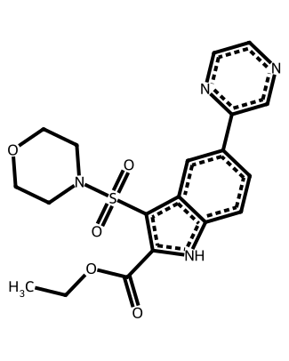 CCOC(=O)c1[nH]c2ccc(-c3cnccn3)cc2c1S(=O)(=O)N1CCOCC1